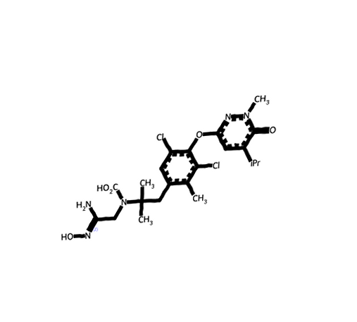 Cc1c(CC(C)(C)N(C/C(N)=N/O)C(=O)O)cc(Cl)c(Oc2cc(C(C)C)c(=O)n(C)n2)c1Cl